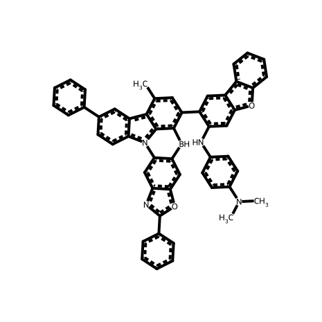 Cc1cc(-c2cc3c(cc2Nc2ccc(N(C)C)cc2)oc2ccccc23)c2c3c1c1cc(-c4ccccc4)ccc1n3-c1cc3nc(-c4ccccc4)oc3cc1B2